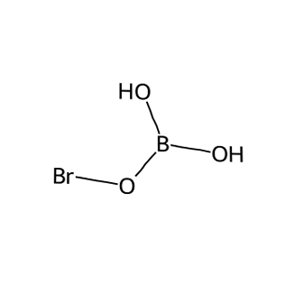 OB(O)OBr